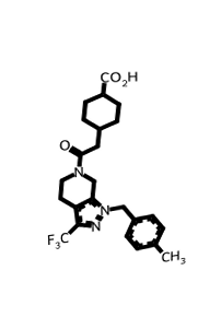 Cc1ccc(Cn2nc(C(F)(F)F)c3c2CN(C(=O)CC2CCC(C(=O)O)CC2)CC3)cc1